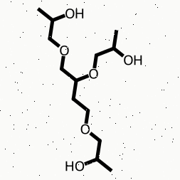 CC(O)COCCC(COCC(C)O)OCC(C)O